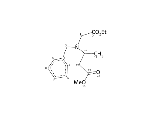 CCOC(=O)CN(Cc1ccccc1)C(C)CC(=O)OC